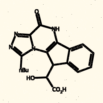 CCCCc1nnc2c(=O)[nH]c3c(n12)C(C(O)C(=O)O)c1ccccc1-3